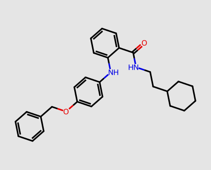 O=C(NCCC1CCCCC1)c1ccccc1Nc1ccc(OCc2ccccc2)cc1